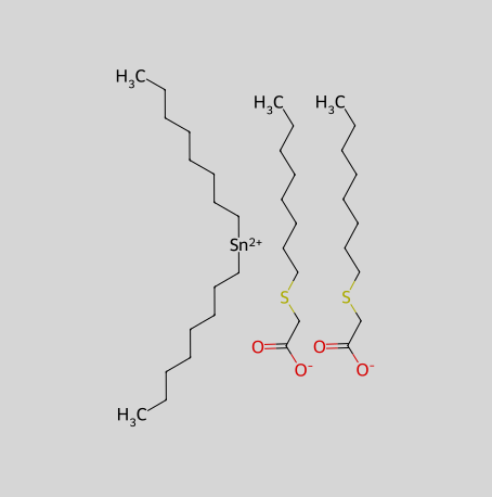 CCCCCCCCSCC(=O)[O-].CCCCCCCCSCC(=O)[O-].CCCCCCC[CH2][Sn+2][CH2]CCCCCCC